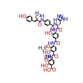 COc1c(NC(=O)c2ccc(NC(=O)c3ccc(NC(=O)[C@H](Cc4cnn[nH]4)NC(=O)c4ccc(NC(=O)/C(C)=C/c5ccc(O)cc5)cc4)c(O)c3)c(OC)c2O)ccc(C(=O)O)c1O